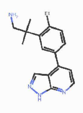 CCc1ccc(-c2ccnc3[nH]ncc23)cc1C(C)(C)CN